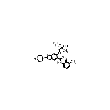 Cl.Cn1cccc(NC(=O)c2cc3sc(N4CCNCC4)nc3cc2OCC(C)(C)O)c1=O